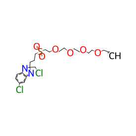 C#CCOCCOCCOCCOCCS(=O)(=O)CCCC1(CCl)N=c2ccc(Cl)cc2=N1